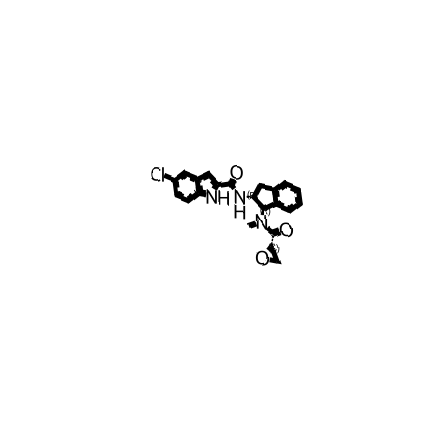 CN(C(=O)[C@@H]1CO1)[C@@H]1c2ccccc2C[C@H]1NC(=O)c1cc2cc(Cl)ccc2[nH]1